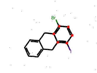 Brc1ccc(I)c2c1C1c3ccccc3C2c2ccccc21